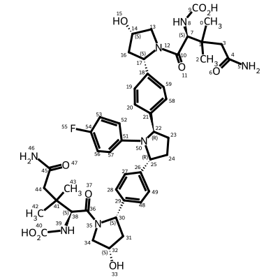 CC(C)(CC(N)=O)[C@H](NC(=O)O)C(=O)N1C[C@@H](O)C[C@H]1c1ccc([C@H]2CC[C@H](c3ccc([C@@H]4C[C@H](O)CN4C(=O)[C@@H](NC(=O)O)C(C)(C)CC(N)=O)cc3)N2c2ccc(F)cc2)cc1